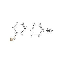 CCCc1[c]cc(-c2cccc(Br)c2)cc1